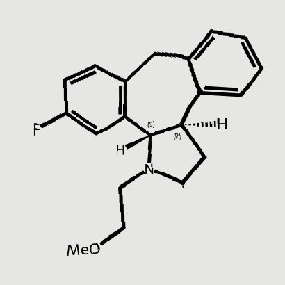 COCCN1[CH]C[C@@H]2c3ccccc3Cc3ccc(F)cc3[C@H]21